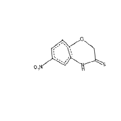 O=[N+]([O-])c1ccc2c(c1)NC(=S)CO2